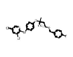 CC(CCOCc1ccc(F)cc1)(Oc1ccc(Oc2ncc(Cl)cc2Cl)cc1)C(=O)O